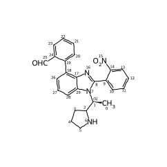 C[C@@H](C1CCCN1)n1c(-c2ccccc2[N+](=O)[O-])nc2c(-c3ccccc3C=O)cccc21